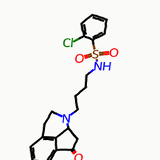 O=C1CC2c3c(cccc31)CCN2CCCCNS(=O)(=O)c1ccccc1Cl